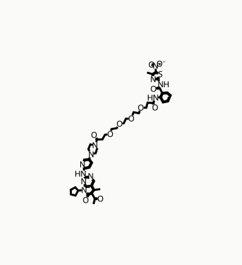 CC(=O)c1c(C)c2cnc(Nc3ccc(N4CCN(C(=O)CCOCCOCCOCCOCCC(=O)Nc5ccccc5C(=O)Nc5nc(C)c([N+](=O)[O-])s5)CC4)cn3)nc2n(C2CCCC2)c1=O